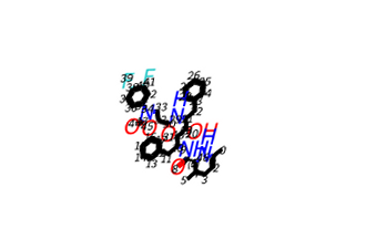 CC1=CCC(C)[C@@H](C(=O)NC(Cc2ccccc2)C[C@H](O)C(Cc2ccccc2)NC(=O)C2CN(c3ccc(F)c(F)c3)C(=O)O2)N1